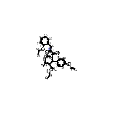 CCOC(=O)C1=C(C)N=c2s/c(=C\c3ccccc3OCC)c(=O)n2C1c1ccc(OCC)cc1